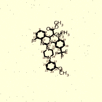 COC(=O)C(C)C1c2cccc(F)c2N=C(N2CCN(c3cccc(OC)c3)CC2)N1c1cc(C(F)(F)F)ccc1OC